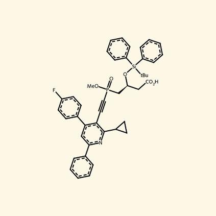 COP(=O)(C#Cc1c(-c2ccc(F)cc2)cc(-c2ccccc2)nc1C1CC1)C[C@H](CC(=O)O)O[Si](c1ccccc1)(c1ccccc1)C(C)(C)C